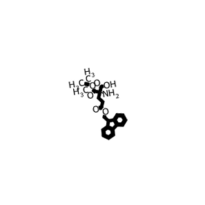 CC(C)(C)OC(=O)[C@](N)(CCC(=O)OCC1c2ccccc2-c2ccccc21)C(=O)O